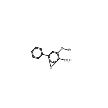 CCCOc1cc(-c2ccccc2)c2c(c1C(=O)O)O2